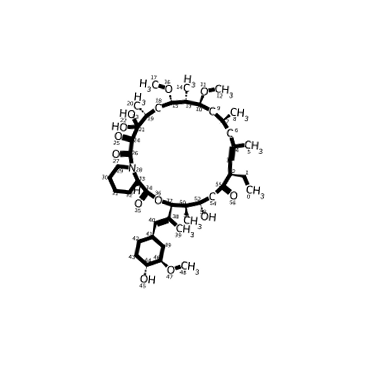 CC[C@@H]1/C=C(\C)C[C@H](C)C[C@H](OC)[C@@H](C)[C@@H](OC)C[C@@H](C)C(O)(O)C(=O)C(=O)N2CCCC[C@H]2C(=O)O[C@H](/C(C)=C/[C@@H]2CC[C@@H](O)[C@H](OC)C2)[C@H](C)[C@@H](O)CC1=O